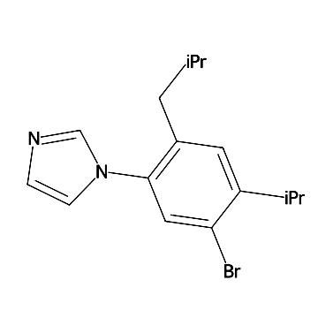 CC(C)Cc1cc(C(C)C)c(Br)cc1-n1ccnc1